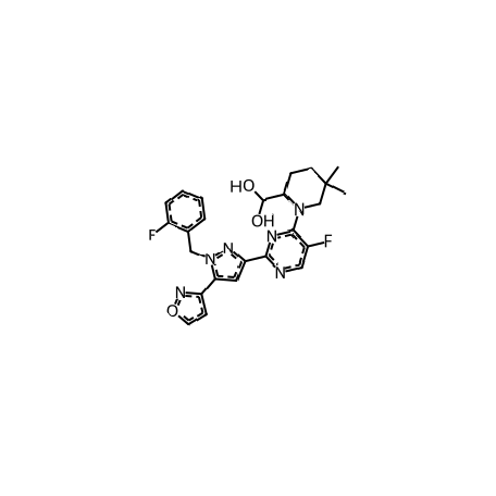 CC1(C)CCC(C(O)O)N(c2nc(-c3cc(-c4ccon4)n(Cc4ccccc4F)n3)ncc2F)C1